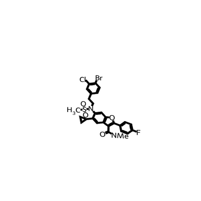 CNC(=O)c1c(-c2ccc(F)cc2)oc2cc(N(CCc3ccc(Br)c(Cl)c3)S(C)(=O)=O)c(C3CC3)cc12